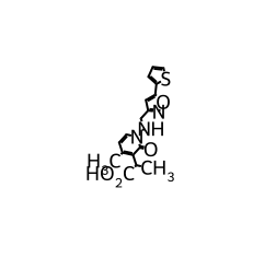 Cc1ccn(NCc2cc(-c3cccs3)on2)c(=O)c1C(C)C(=O)O